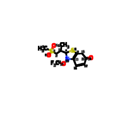 CC(CS(C)(=O)=O)C1SC2=C(C=CC(=O)C2)N1OC(F)(F)F